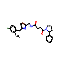 Cc1cc(F)ccc1Cc1csc(CNC(=O)CCC(=O)N2CCCC2c2ccccc2)n1